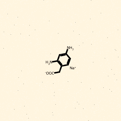 Nc1ccc(CC(=O)[O-])c(N)c1.[Na+]